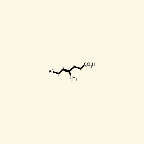 C/C(=C\CBr)CCC(=O)O